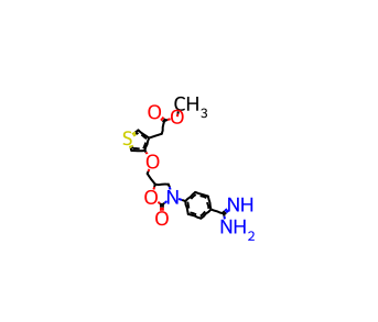 COC(=O)Cc1cscc1OCC1CN(c2ccc(C(=N)N)cc2)C(=O)O1